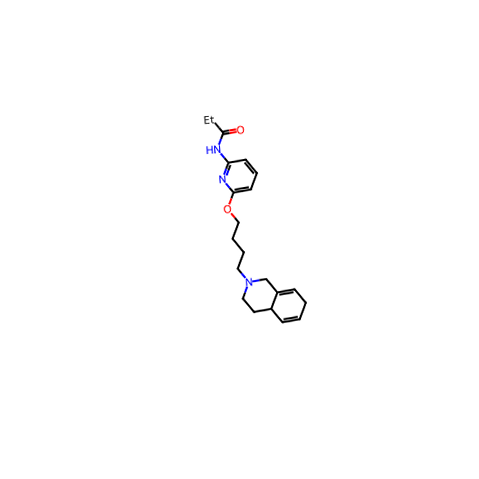 CCC(=O)Nc1cccc(OCCCCN2CCC3C=CCC=C3C2)n1